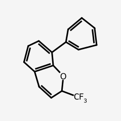 FC(F)(F)C1C=Cc2cccc(-c3ccccc3)c2O1